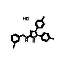 Cc1ccc([C@H]2NC(NCc3cccc(F)c3)=N[C@H]2c2ccc(C)cc2)cc1.Cl